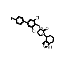 O=C1[C@H](Cc2c(Cl)cc(-c3ccc(F)cc3)cc2Cl)CCN1C1CCCc2[nH]ncc21